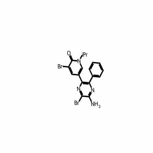 CC(C)n1cc(-c2nc(Br)c(N)nc2-c2ccccc2)cc(Br)c1=O